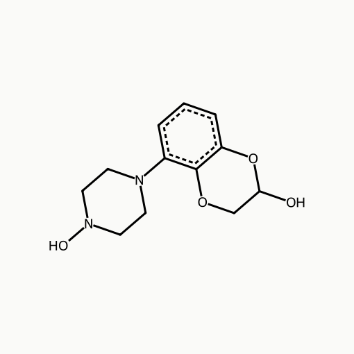 OC1COc2c(cccc2N2CCN(O)CC2)O1